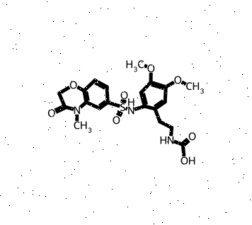 COc1cc(CCNC(=O)O)c(NS(=O)(=O)c2ccc3c(c2)N(C)C(=O)CO3)cc1OC